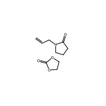 C=CCN1CCCC1=O.O=C1OCCO1